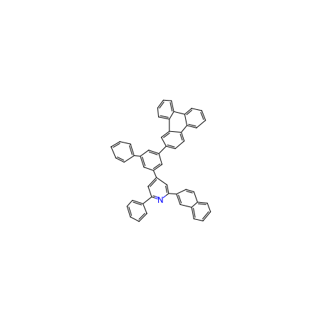 c1ccc(-c2cc(-c3cc(-c4ccccc4)nc(-c4ccc5ccccc5c4)c3)cc(-c3ccc4c5ccccc5c5ccccc5c4c3)c2)cc1